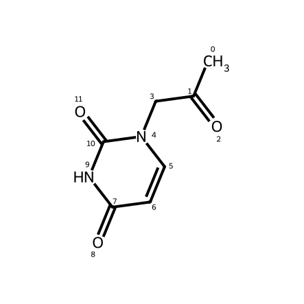 CC(=O)Cn1ccc(=O)[nH]c1=O